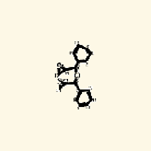 c1ccc(C(OC(c2ccccc2)C2CS2)C2CS2)cc1